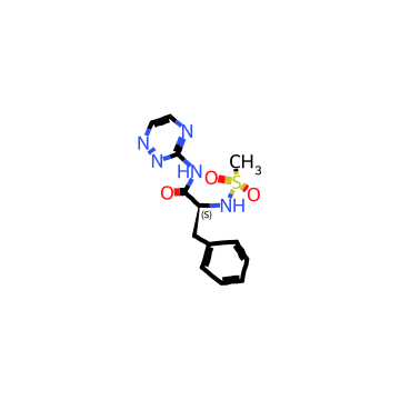 CS(=O)(=O)N[C@@H](Cc1ccccc1)C(=O)Nc1nccnn1